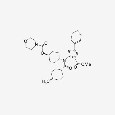 COC(=O)c1sc(C2=CCCCC2)cc1N(C(=O)[C@H]1CC[C@H](C)CC1)[C@H]1CC[C@H](OC(=O)N2CCOCC2)CC1